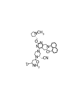 CN1CCC[C@H]1COc1nc2c(c(N3CCN(C(=O)C[C@@H](N)C4CC4)[C@@H](CC#N)C3)n1)CCN(c1cccc3cccc(Cl)c13)C2